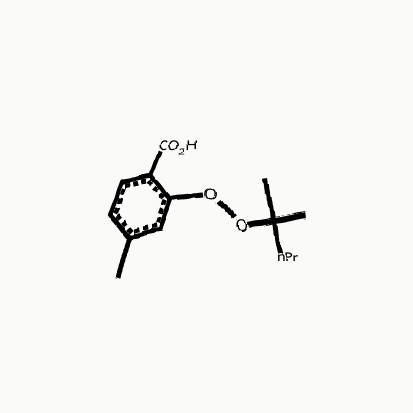 CCCC(C)(C)OOc1cc(C)ccc1C(=O)O